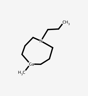 CCCN1CC[CH2][Ga]([CH3])[CH2]CC1